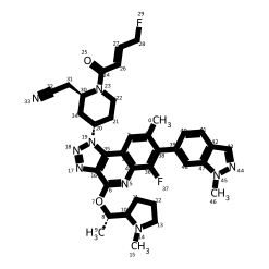 Cc1cc2c(nc(O[C@@H](C)C3CCCN3C)c3nnn([C@H]4CCN(C(=O)/C=C/CF)[C@H](CC#N)C4)c32)c(F)c1-c1ccc2cnn(C)c2c1